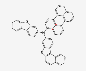 c1ccc(-c2cccc3cccc(-c4ccc(N(c5ccc6c(c5)sc5ccccc56)c5ccc6c(c5)sc5ccc7ccccc7c56)cc4)c23)cc1